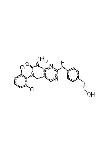 CN1C(=O)N(c2c(Cl)cccc2Cl)Cc2cnc(Nc3ccc(CCO)cc3)nc21